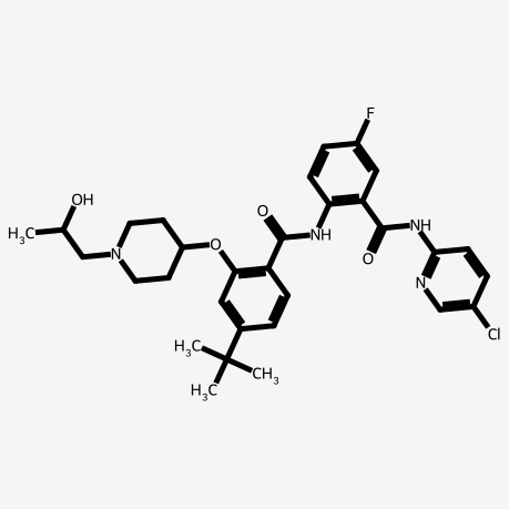 CC(O)CN1CCC(Oc2cc(C(C)(C)C)ccc2C(=O)Nc2ccc(F)cc2C(=O)Nc2ccc(Cl)cn2)CC1